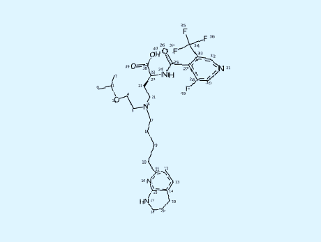 CC(C)OCCN(CCCCc1ccc2c(n1)NCCC2)CC[C@H](NC(=O)c1c(F)cncc1C(F)(F)F)C(=O)O